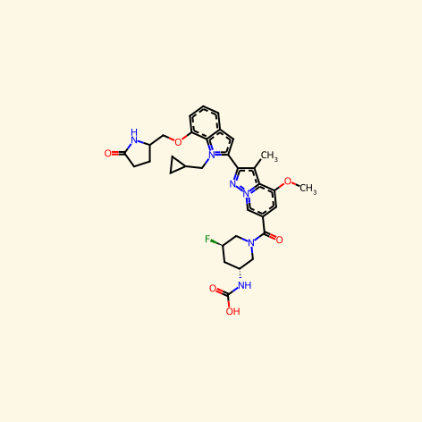 COc1cc(C(=O)N2C[C@H](F)C[C@@H](NC(=O)O)C2)cn2nc(-c3cc4cccc(OCC5CCC(=O)N5)c4n3CC3CC3)c(C)c12